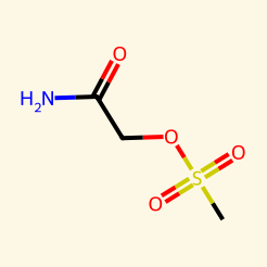 CS(=O)(=O)OCC(N)=O